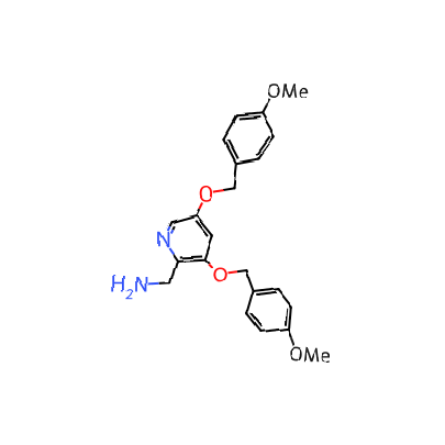 COc1ccc(COc2cnc(CN)c(OCc3ccc(OC)cc3)c2)cc1